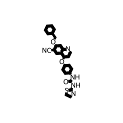 N#Cc1cc2c(Oc3ccc(NC(=O)Nc4nccs4)cc3)ccnc2cc1OCc1ccccc1